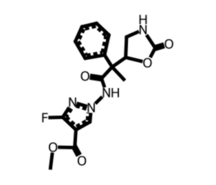 COC(=O)c1cn(NC(=O)C(C)(c2ccccc2)C2CNC(=O)O2)nc1F